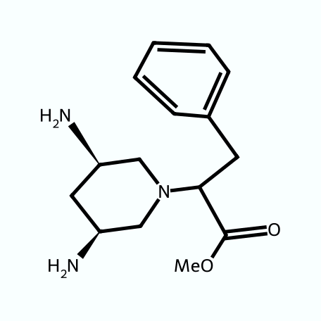 COC(=O)C(Cc1ccccc1)N1C[C@H](N)C[C@H](N)C1